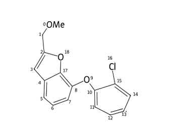 COCc1cc2cccc(Oc3cc[c]cc3Cl)c2o1